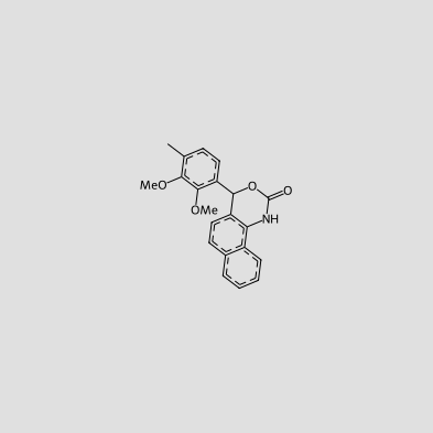 COc1c(C)ccc(C2OC(=O)Nc3c2ccc2ccccc32)c1OC